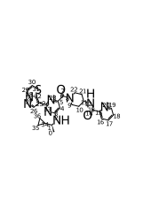 C[C@H](Nc1cc(C(=O)N2CCC(NC(=O)c3ccccn3)CC2)nc(-c2cnn3ccsc23)n1)C1CC1